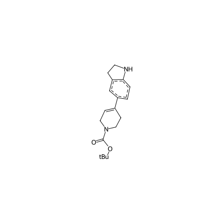 CC(C)(C)OC(=O)N1CC=C(c2ccc3c(c2)CCN3)CC1